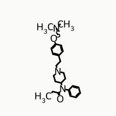 CCC(=O)N(c1ccccc1)C1CCN(CCc2ccc(OSN(C)C)cc2)CC1